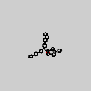 c1ccc(-c2ccc(-c3ccc(N(c4ccc(-c5ccc6c(ccc7ccccc76)c5)cc4)c4cccc(-c5cccc6c5c5c(-c7ccccc7)cccc5n6-c5ccccc5)c4)cc3)cc2)cc1